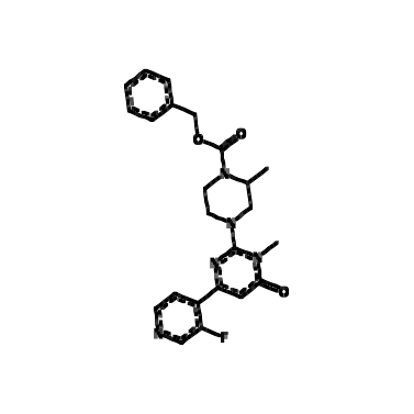 CC1CN(c2nc(-c3ccncc3F)cc(=O)n2C)CCN1C(=O)OCc1ccccc1